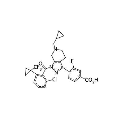 O=C(O)c1ccc(-c2nn(C(=O)c3c(Cl)cccc3C3(C(F)(F)F)CC3)c3c2CCN(CC2CC2)C3)c(F)c1